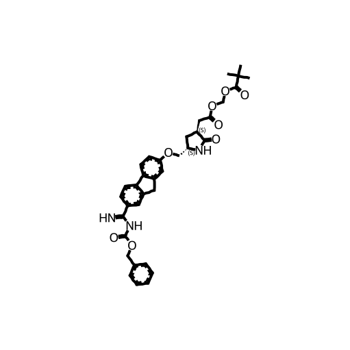 CC(C)(C)C(=O)OCOC(=O)C[C@@H]1C[C@@H](COc2ccc3c(c2)Cc2cc(C(=N)NC(=O)OCc4ccccc4)ccc2-3)NC1=O